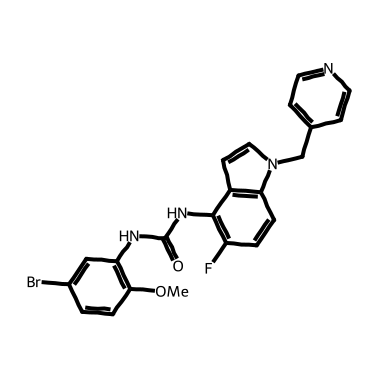 COc1ccc(Br)cc1NC(=O)Nc1c(F)ccc2c1ccn2Cc1ccncc1